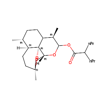 CCCC(CCC)C(=O)OC1O[C@@H]2C[C@]3(C)CC[C@H]4[C@H](C)CCC([C@H]1C)[C@@]24OO3